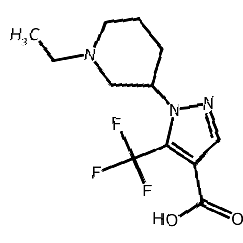 CCN1CCCC(n2ncc(C(=O)O)c2C(F)(F)F)C1